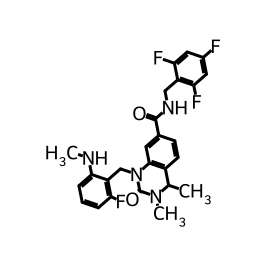 CNc1cccc(F)c1CN1C(=O)N(C)C(C)c2ccc(C(=O)NCc3c(F)cc(F)cc3F)cc21